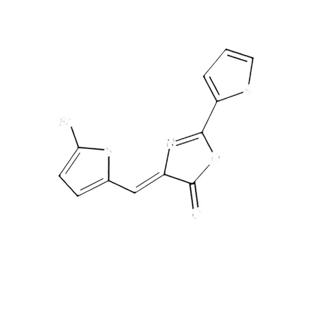 O=C1OC(c2cccs2)=N/C1=C\c1ccc(Br)s1